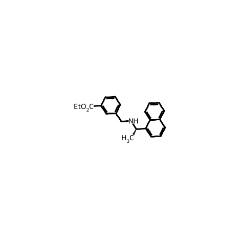 CCOC(=O)c1cccc(CN[C@H](C)c2cccc3ccccc23)c1